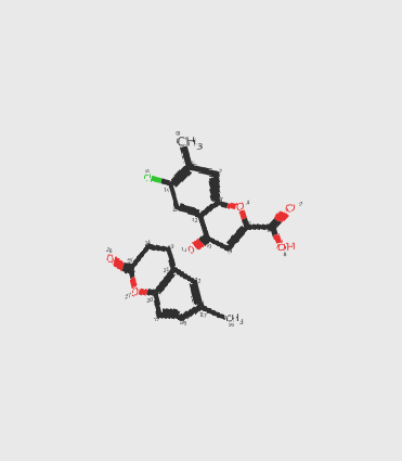 Cc1cc2oc(C(=O)O)cc(=O)c2cc1Cl.Cc1ccc2c(c1)CCC(=O)O2